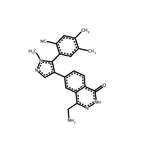 Cc1cc(C#N)c(-c2c(-c3ccc4c(=O)[nH]nc(CN)c4c3)cnn2C)cc1C